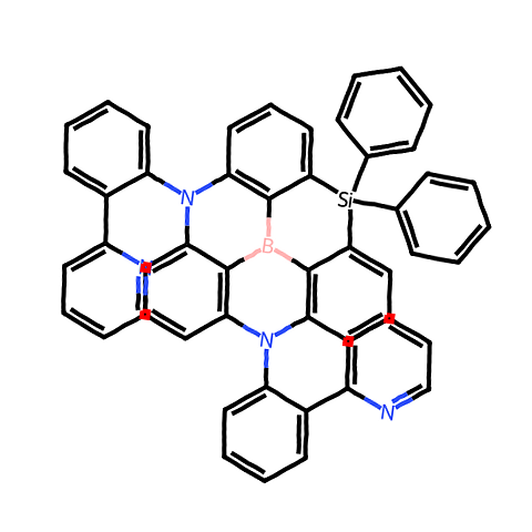 c1ccc([Si]2(c3ccccc3)c3cccc4c3B3c5c(cccc5N(c5ccccc5-c5ccccn5)c5cccc2c53)N4c2ccccc2-c2ccccn2)cc1